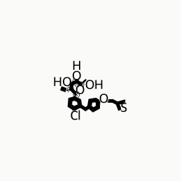 C=C[C@@H]1[C@@H](O)[C@H](O)[C@@H](CO)O[C@H]1c1ccc(Cl)c(Cc2ccc(OCCC3CSC3)cc2)c1